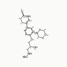 CC(C)(C)NCC(O)COc1ccc(C2=NNC(=O)CC2)cc1N1CCOCC1